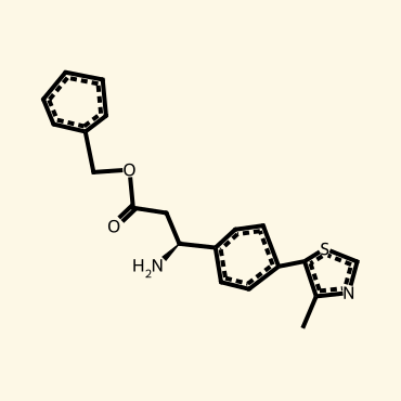 Cc1ncsc1-c1ccc([C@@H](N)CC(=O)OCc2ccccc2)cc1